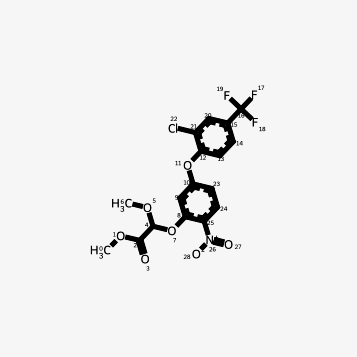 COC(=O)C(OC)Oc1cc(Oc2ccc(C(F)(F)F)cc2Cl)ccc1[N+](=O)[O-]